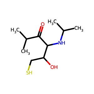 CC(C)NC(C(=O)C(C)C)C(O)CS